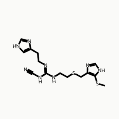 CSc1[nH]cnc1CSCCNC(=NCCc1c[nH]cn1)NC#N